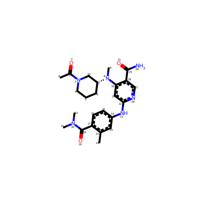 CC(=O)N1CCC[C@@H](N(C)c2cc(Nc3ccc(C(=O)N(C)C)c(C)c3)ncc2C(N)=O)C1